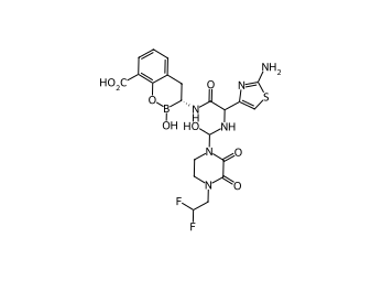 Nc1nc(C(NC(O)N2CCN(CC(F)F)C(=O)C2=O)C(=O)N[C@H]2Cc3cccc(C(=O)O)c3OB2O)cs1